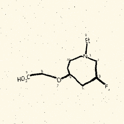 CCN1CC(F)CC(OCC(=O)O)C1